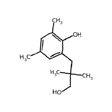 Cc1cc(C)c(O)c(CC(C)(C)CO)c1